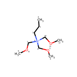 CCC[N+](COC)(COC)COC